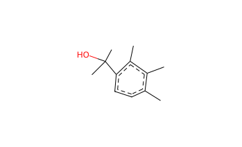 Cc1ccc(C(C)(C)O)c(C)c1C